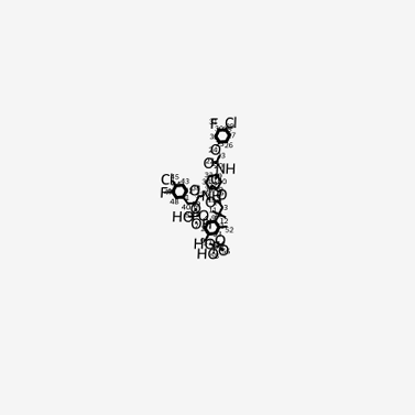 Cc1cc(OP(=O)(O)O)c(C(C)(C)CC(=O)OC2CC3(NC(=O)COc4ccc(Cl)c(F)c4)CCC2(NC(=O)CCc2ccc(Cl)c(F)c2)CC3)c(C)c1OP(=O)(O)O